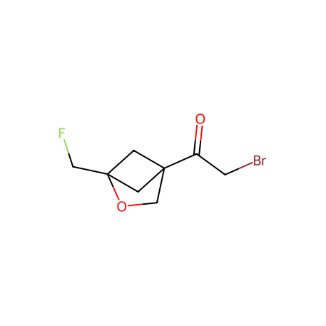 O=C(CBr)C12COC(CF)(C1)C2